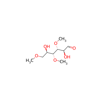 COC[C@@H](O)[C@@H](OC)[C@H](OC)[C@H](O)C=O